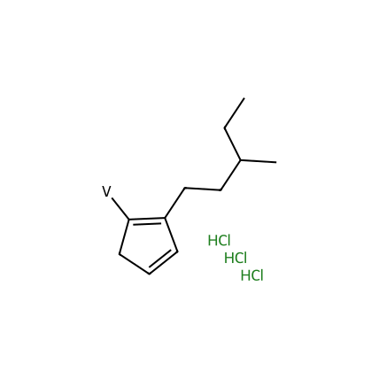 CCC(C)CCC1=[C]([V])CC=C1.Cl.Cl.Cl